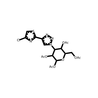 CC(=O)OCC1OC(OC(C)=O)C(OC(C)=O)C(n2cc(-c3nc(Cl)cs3)nn2)C1OC(C)=O